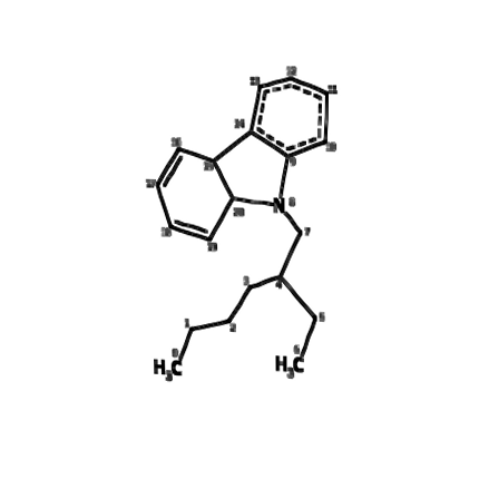 CCCCC(CC)CN1c2ccccc2C2C=CC=CC21